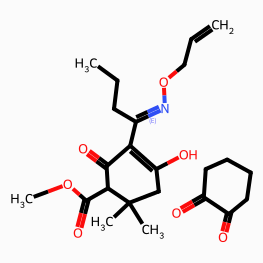 C=CCO/N=C(\CCC)C1=C(O)CC(C)(C)C(C(=O)OC)C1=O.O=C1CCCCC1=O